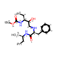 CC(C)C[C@H](NC(=O)[C@H](Cc1ccccc1)NCC(O)[C@H](CC(C)C)NC(=O)OC(C)(C)C)C(=O)O